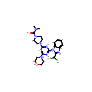 CN(C)C(=O)N1CCN(c2nc(N3CCOCC3)nc(-n3c(C(F)F)nc4ccccc43)n2)CC1